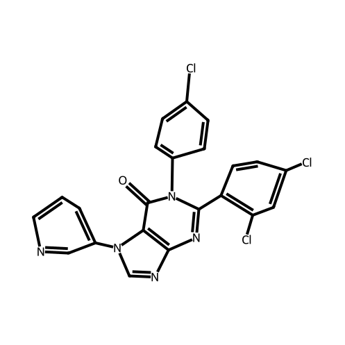 O=c1c2c(ncn2-c2cccnc2)nc(-c2ccc(Cl)cc2Cl)n1-c1ccc(Cl)cc1